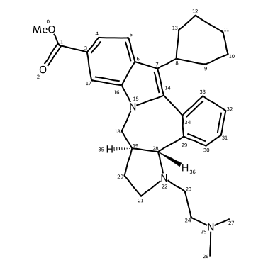 COC(=O)c1ccc2c(C3CCCCC3)c3n(c2c1)C[C@@H]1CCN(CCN(C)C)[C@H]1c1ccccc1-3